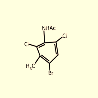 CC(=O)Nc1c(Cl)cc(Br)c(C)c1Cl